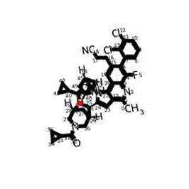 Cc1nc2c(F)c(-c3cccc(Cl)c3Cl)c(CCC#N)cc2c2c1cc([C@H]1[C@H]3C[C@H](CN(C(=O)C4CC4)C3)N1C(=O)C1CC1)n2[C@H]1[C@H]2CN[C@@H]1C2